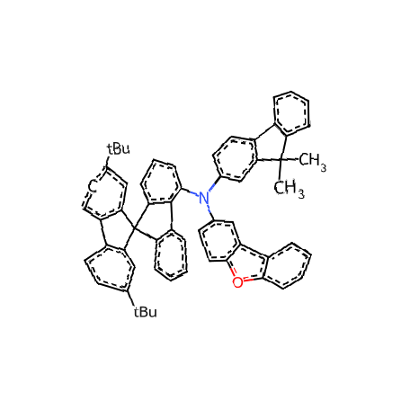 CC(C)(C)c1ccc2c(c1)C1(c3cc(C(C)(C)C)ccc3-2)c2ccccc2-c2c(N(c3ccc4c(c3)C(C)(C)c3ccccc3-4)c3ccc4oc5ccccc5c4c3)cccc21